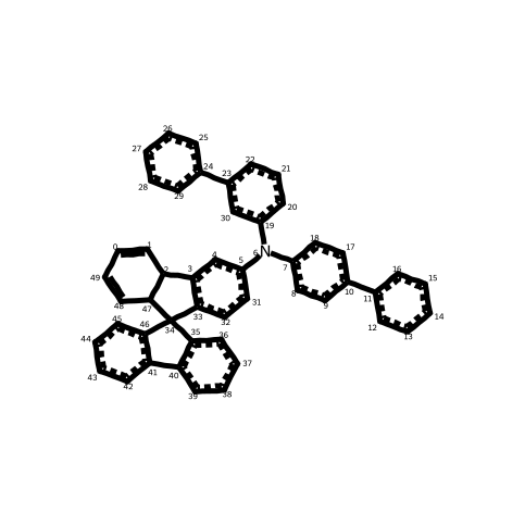 C1=CC2c3cc(N(c4ccc(-c5ccccc5)cc4)c4cccc(-c5ccccc5)c4)ccc3C3(c4ccccc4-c4ccccc43)C2C=C1